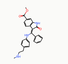 CNCCc1ccc(NC(=C2C(=O)Nc3cc(C(=O)OC)ccc32)c2ccccc2)cc1